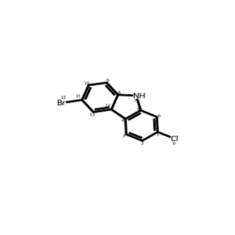 Clc1ccc2c(c1)[nH]c1ccc(Br)cc12